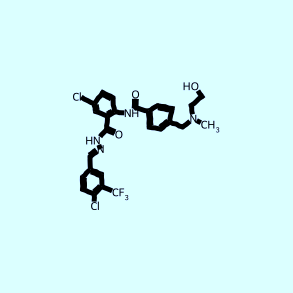 CN(CCO)Cc1ccc(C(=O)Nc2ccc(Cl)cc2C(=O)NN=Cc2ccc(Cl)c(C(F)(F)F)c2)cc1